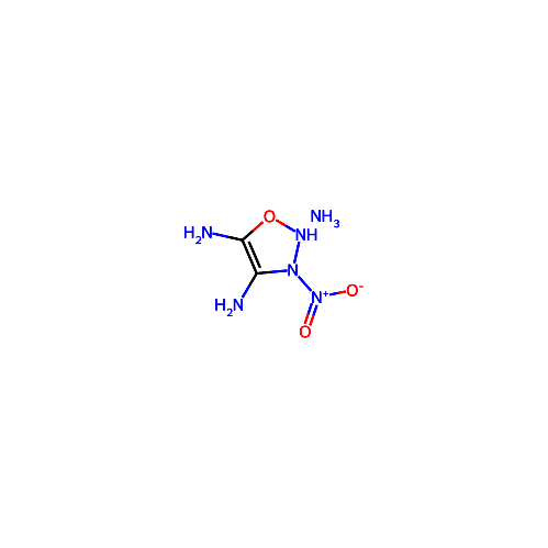 N.NC1=C(N)N([N+](=O)[O-])NO1